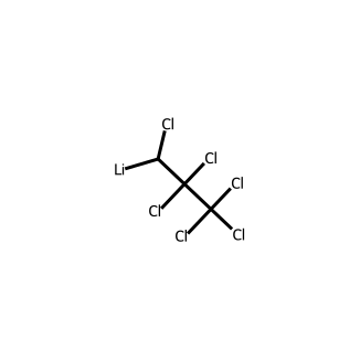 [Li][CH](Cl)C(Cl)(Cl)C(Cl)(Cl)Cl